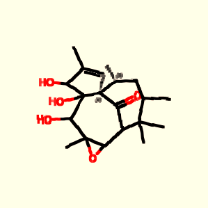 CC1=C[C@]23C(=O)C(C4OC4(C)C(O)C2(O)C1O)C(C)(C)C(C)C[C@H]3C